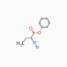 CCC(=[N+]=[N-])C(=O)Oc1ccccc1